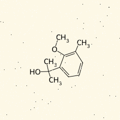 COc1c(C)cccc1C(C)(C)O